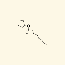 CCCCCCCC(=O)OC(CC)CC